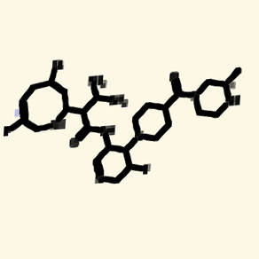 CCC1C/C=C(/F)CNC(C(C(=O)NC2C=NCC(F)C2N2CCC(C(=O)N3CCN[C@H](C)C3)CC2)C(N)N)C1